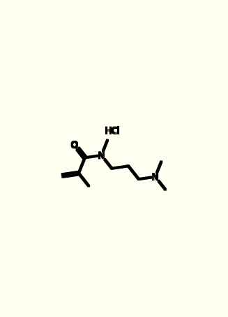 C=C(C)C(=O)N(C)CCCN(C)C.Cl